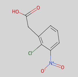 O=C(O)Cc1cccc([N+](=O)[O-])c1Cl